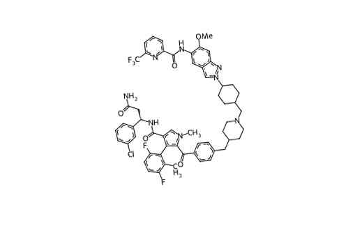 COc1cc2nn(C3CCC(CN4CCC(Cc5ccc(C(=O)c6c(-c7c(F)ccc(F)c7C)c(C(=O)N[C@H](CC(N)=O)c7cccc(Cl)c7)cn6C)cc5)CC4)CC3)cc2cc1NC(=O)c1cccc(C(F)(F)F)n1